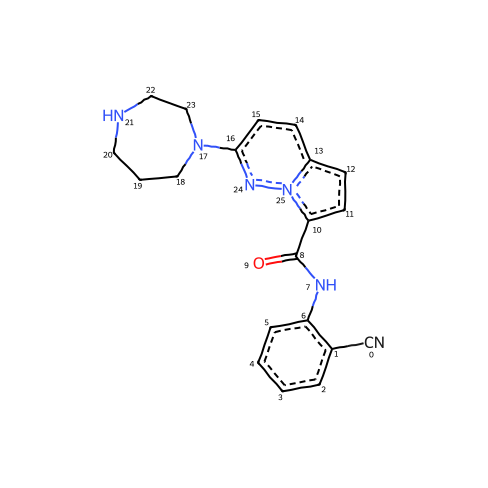 N#Cc1ccccc1NC(=O)c1ccc2ccc(N3CCCNCC3)nn12